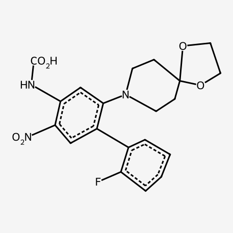 O=C(O)Nc1cc(N2CCC3(CC2)OCCO3)c(-c2ccccc2F)cc1[N+](=O)[O-]